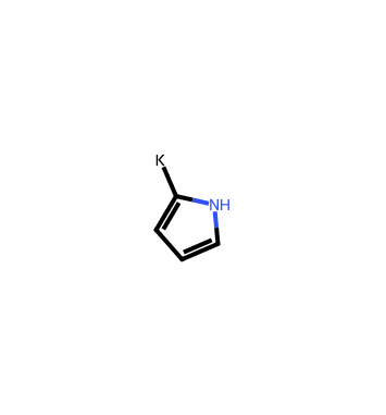 [K][c]1ccc[nH]1